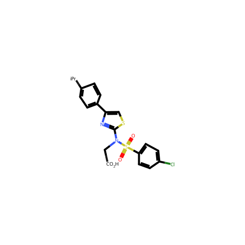 CC(C)c1ccc(-c2csc(N(CC(=O)O)S(=O)(=O)c3ccc(Cl)cc3)n2)cc1